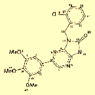 COc1cc(-c2cnc3c(n2)N(Cc2ccccc2Cl)C(=O)[N]3)cc(OC)c1OC